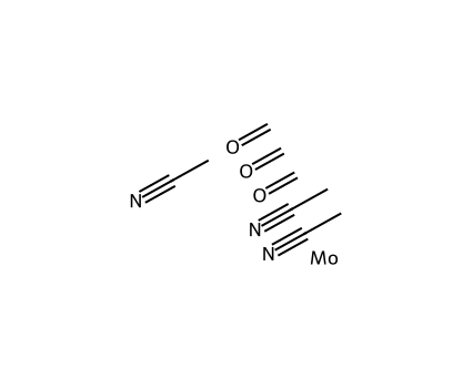 C=O.C=O.C=O.CC#N.CC#N.CC#N.[Mo]